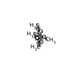 CCOC(=O)CN(CC(=O)OCC)c1cc(C(=O)OCC)ccc1C